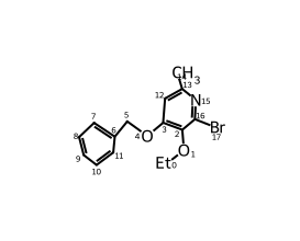 CCOc1c(OCc2ccccc2)cc(C)nc1Br